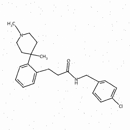 CN1CCC(C)(c2ccccc2CCC(=O)NCc2ccc(Cl)cc2)CC1